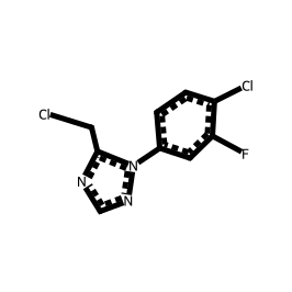 Fc1cc(-n2ncnc2CCl)ccc1Cl